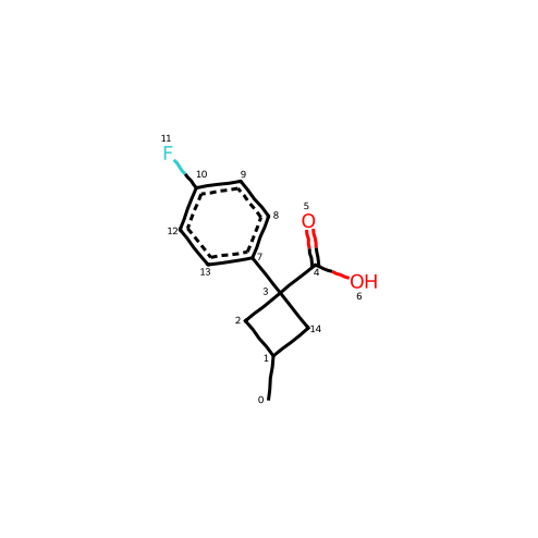 CC1CC(C(=O)O)(c2ccc(F)cc2)C1